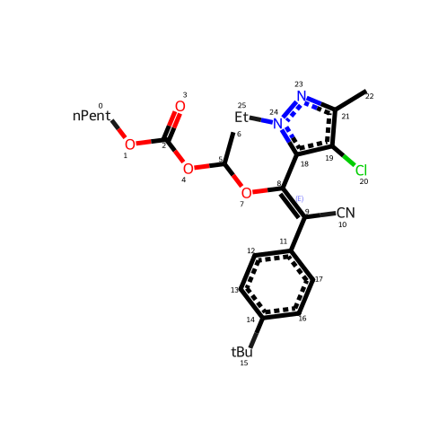 CCCCCOC(=O)OC(C)O/C(=C(/C#N)c1ccc(C(C)(C)C)cc1)c1c(Cl)c(C)nn1CC